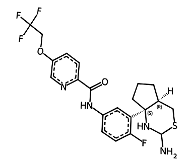 NC1N[C@@]2(c3cc(NC(=O)c4ccc(OCC(F)(F)F)cn4)ccc3F)CCC[C@H]2CS1